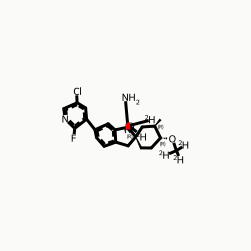 [2H]C([2H])([2H])O[C@@H]1CC[C@]2(Cc3ccc(-c4cc(Cl)cnc4F)cc3[C@]23N=C(N)OC3([2H])[2H])C[C@H]1C